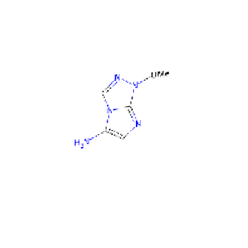 COn1ncn2c(N)cnc12